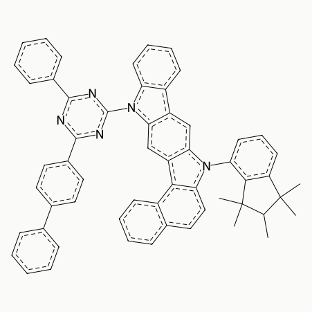 CC1C(C)(C)c2cccc(-n3c4cc5c6ccccc6n(-c6nc(-c7ccccc7)nc(-c7ccc(-c8ccccc8)cc7)n6)c5cc4c4c5ccccc5ccc43)c2C1(C)C